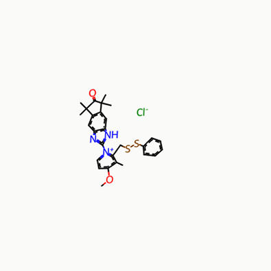 COc1cc[n+](-c2nc3cc4c(cc3[nH]2)C(C)(C)C(=O)C4(C)C)c(CSSc2ccccc2)c1C.[Cl-]